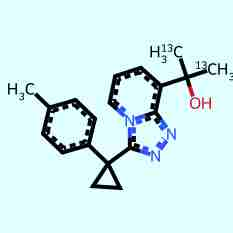 Cc1ccc(C2(c3nnc4c(C([13CH3])([13CH3])O)cccn34)CC2)cc1